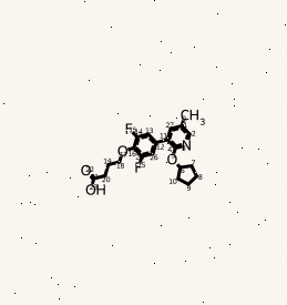 Cc1cnc(OC2CCCC2)c(-c2cc(F)c(OCCCC(=O)O)c(F)c2)c1